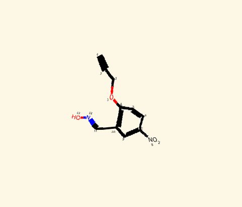 C#CCOc1ccc([N+](=O)[O-])cc1/C=N/O